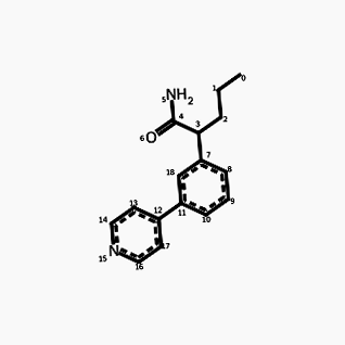 CCCC(C(N)=O)c1cccc(-c2ccncc2)c1